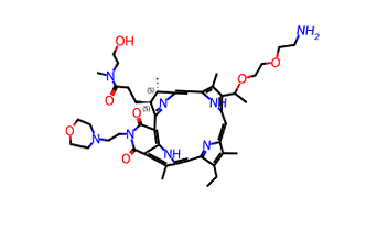 CCC1=C(C)c2cc3[nH]c(cc4nc(c5c6[nH]c(cc1n2)c(C)c6C(=O)N(CCN1CCOCC1)C5=O)[C@@H](CCC(=O)N(C)CCO)[C@@H]4C)c(C)c3C(C)OCCOCCN